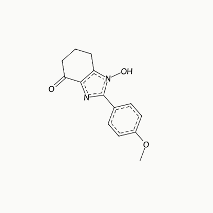 COc1ccc(-c2nc3c(n2O)CCCC3=O)cc1